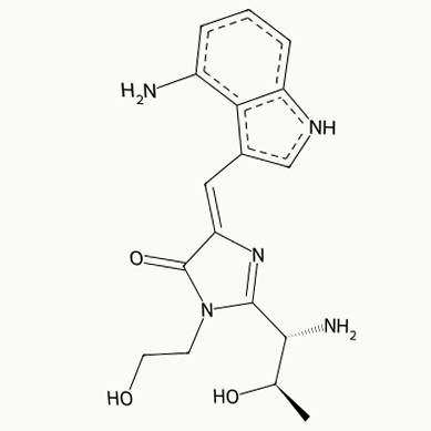 C[C@@H](O)[C@@H](N)C1=NC(=Cc2c[nH]c3cccc(N)c23)C(=O)N1CCO